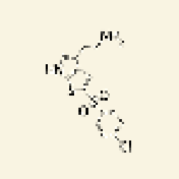 NCCc1c[nH]c2sc(S(=O)(=O)c3ccc(Cl)cc3)cc12